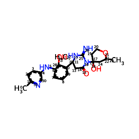 Cc1ccc(Nc2cccc([C@]3(C)CC(=O)N([C@]4(O)CCO[C@@H](C)C4)C(=N)N3)c2O)cn1